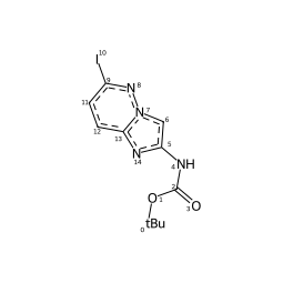 CC(C)(C)OC(=O)Nc1cn2nc(I)ccc2n1